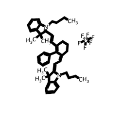 CCCCN1C(=CC=C2CCCC(C=CC3=[N+](CCCC)c4ccccc4C3(C)C)=C2c2ccccc2)C(C)(C)c2ccccc21.F[P-](F)(F)(F)(F)F